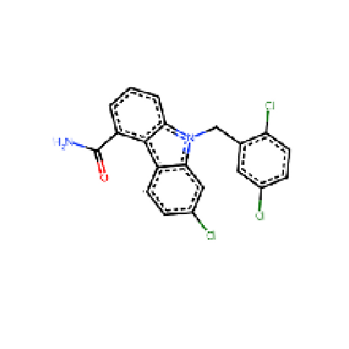 NC(=O)c1cccc2c1c1[c]cc(Cl)cc1n2Cc1cc(Cl)ccc1Cl